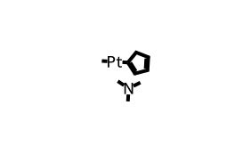 CN(C)C.[CH3][Pt][C]1=CC=CC1